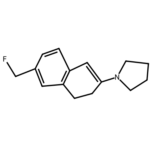 FCc1ccc2c(c1)CCC(N1CCCC1)=C2